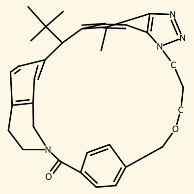 Cc1c2ccc3c1nnn3CCCOCc1ccc(cc1)C(=O)N1CCc3ccc(cc3C1)C2C(C)(C)C